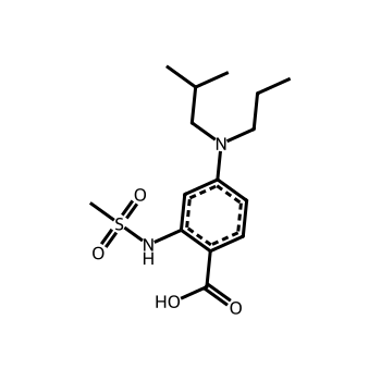 CCCN(CC(C)C)c1ccc(C(=O)O)c(NS(C)(=O)=O)c1